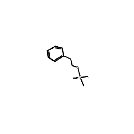 C[Si](C)(C)OCCc1ccccc1